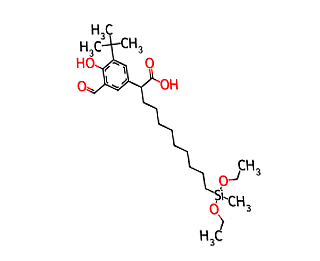 CCO[Si](C)(CCCCCCCCCC(C(=O)O)c1cc(C=O)c(O)c(C(C)(C)C)c1)OCC